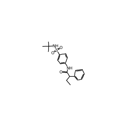 CCC(C(=O)Nc1ccc(S(=O)(=O)NC(C)(C)C)cc1)c1ccccc1